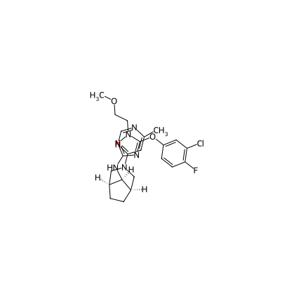 COCCn1nc(N[C@H]2[C@@H]3CC[C@H]2CN(c2cc(C)ncn2)C3)nc1Oc1ccc(F)c(Cl)c1